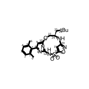 Cc1cccc(C)c1-c1cc2nc(n1)NS(=O)(=O)c1cc(no1)N[C@H](CC(C)(C)C)CO2